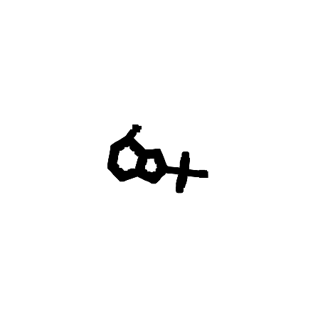 CCS(=O)(=O)c1cc2c(Br)cccn2c1